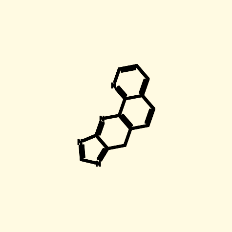 C1=NC2=Nc3c(ccc4cccnc34)CC2=N1